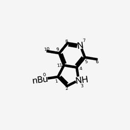 CCCCc1c[nH]c2c(C)ncc(C)c12